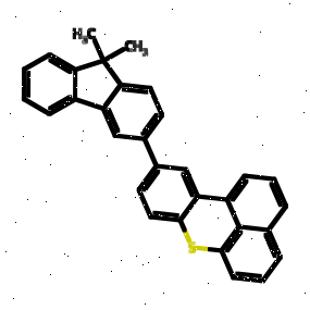 CC1(C)c2ccccc2-c2cc(-c3ccc4c(c3)-c3cccc5cccc(c35)S4)ccc21